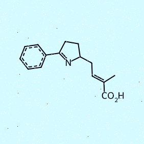 C/C(=C\CC1CCC(c2ccccc2)=N1)C(=O)O